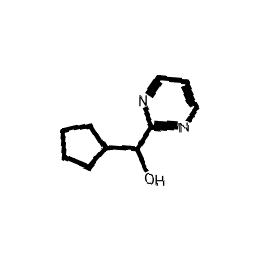 OC(c1ncccn1)C1CCCC1